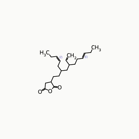 C=CC(CC/C=C/CC)CC(C/C=C\CC)CCC1CC(=O)OC1=O